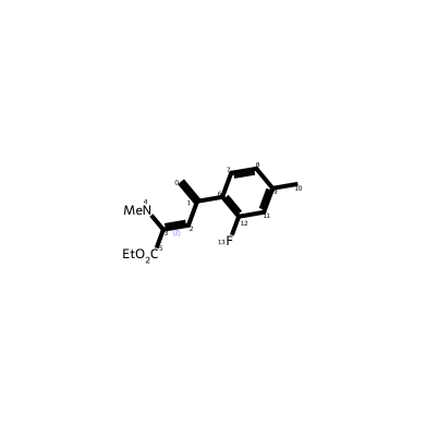 C=C(/C=C(\NC)C(=O)OCC)c1ccc(C)cc1F